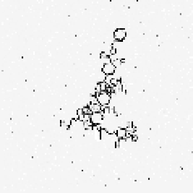 C=C(C)C1CC[C@]2(NCCN3C[C@@H]4C[C@@H]3CS4(=O)=O)CC[C@]3(C)[C@H](CC[C@@H]4[C@@]5(C)CC=C(C6=CC[C@](CF)(C(=O)OCc7ccccc7)CC6)C(C)(C)[C@@H]5CC[C@]43C)[C@@H]12